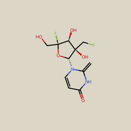 C=C1NC(=O)C=CN1[C@@H]1O[C@](F)(CO)[C@@H](O)[C@]1(O)CF